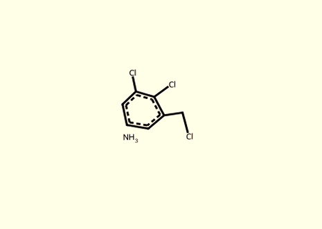 ClCc1cccc(Cl)c1Cl.N